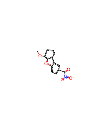 COc1cccc2c1oc1ccc(C(=O)[N+](=O)[O-])cc12